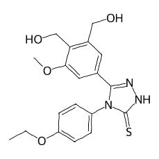 CCOc1ccc(-n2c(-c3cc(CO)c(CO)c(OC)c3)n[nH]c2=S)cc1